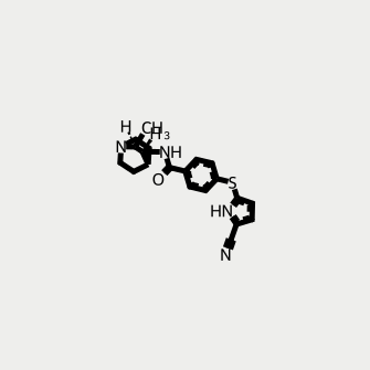 C[C@H]1[C@H](NC(=O)c2ccc(Sc3ccc(C#N)[nH]3)cc2)C2CCN1CC2